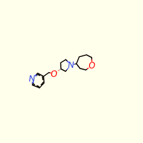 c1cncc(CO[C@@H]2CCN(C3CCCOCC3)C2)c1